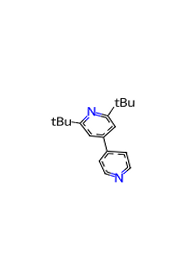 CC(C)(C)c1cc(-c2ccncc2)cc(C(C)(C)C)n1